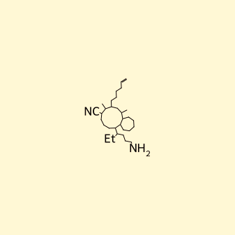 C=CCCCCC1CC(C)C2CCCCCC2C(C(CC)CCCN)CCCC(C#N)C1C